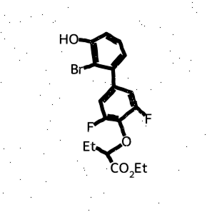 CCOC(=O)C(CC)Oc1c(F)cc(-c2cccc(O)c2Br)cc1F